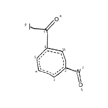 O=Nc1cccc(C(=O)I)c1